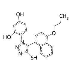 CCCOc1ccc(-c2c(S)nnn2-c2ccc(O)cc2O)c2ccccc12